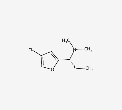 CC[C@H](c1cc(Cl)co1)N(C)C